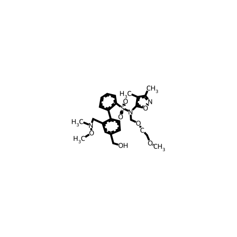 COCCOCN(c1onc(C)c1C)S(=O)(=O)c1ccccc1-c1ccc(CO)cc1CN(C)OC